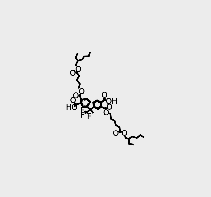 CCCCC(CC)COC(=O)CCCCCOC(=O)c1cc(C(C)(c2ccc(C(=O)OCCCCC(=O)OCC(CC)CCCC)c(C(=O)O)c2)C(F)(F)F)ccc1C(=O)O